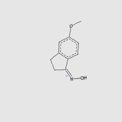 COc1ccc2c(c1)CC/C2=N/O